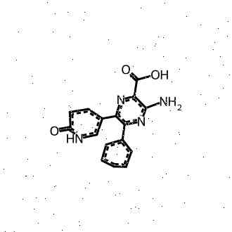 Nc1nc(-c2ccccc2)c(-c2ccc(=O)[nH]c2)nc1C(=O)O